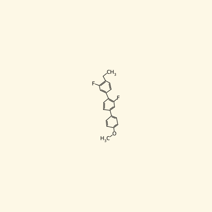 CCc1ccc(-c2ccc(-c3ccc(OC)cc3)cc2F)cc1F